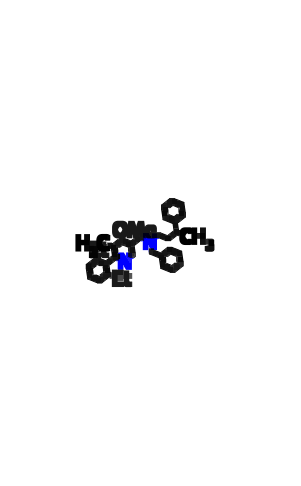 CCc1cccc(CC)c1-c1ncc(CN(CCC(C)c2ccccc2)Cc2ccccc2)c(OC)c1C